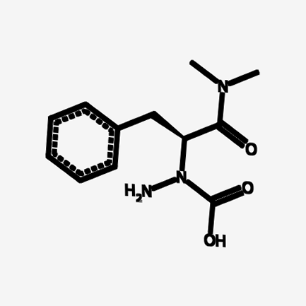 CN(C)C(=O)[C@H](Cc1ccccc1)N(N)C(=O)O